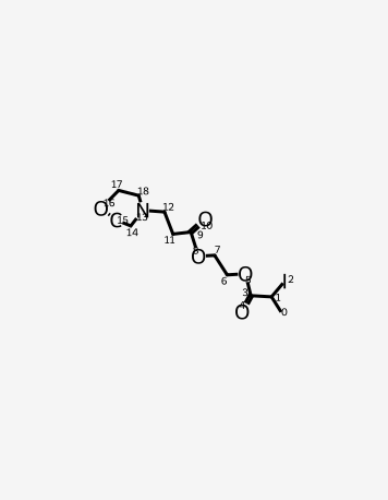 CC(I)C(=O)OCCOC(=O)CCN1CCOCC1